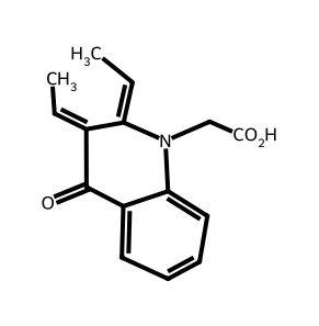 C/C=c1/c(=O)c2ccccc2n(CC(=O)O)/c1=C/C